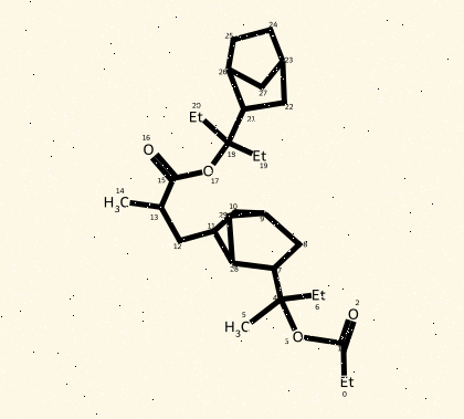 CCC(=O)OC(C)(CC)C1CC2CC(CC(C)C(=O)OC(CC)(CC)C3CC4CCC3C4)C1C2